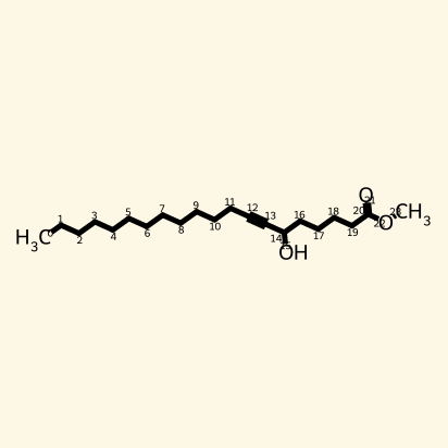 CCCCCCCCCCCCC#CC(O)CCCCC(=O)OC